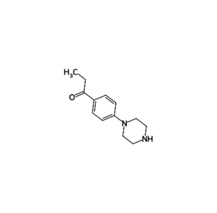 CCC(=O)c1ccc(N2CCNCC2)cc1